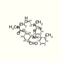 Cc1ccccc1-c1cnc(N(C)CCO)nc1Nc1cc(OC(=O)N(C)C)ccc1C=O